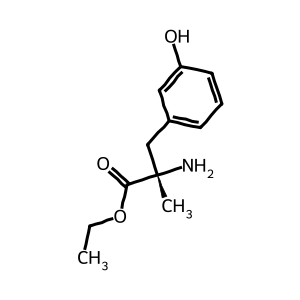 CCOC(=O)[C@@](C)(N)Cc1cccc(O)c1